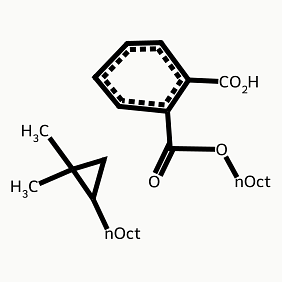 CCCCCCCCC1CC1(C)C.CCCCCCCCOC(=O)c1ccccc1C(=O)O